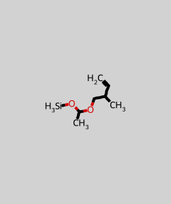 C=CC(C)COC(C)O[SiH3]